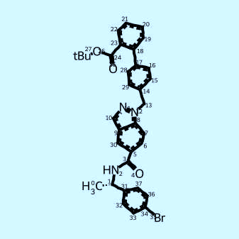 C[C@H](NC(=O)c1ccc2c(cnn2Cc2ccc(-c3ccccc3C(=O)OC(C)(C)C)cc2)c1)c1ccc(Br)cc1